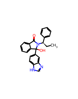 CC[C@H](c1ccccc1)N1C(=O)c2ccccc2C1(O)c1ccc2[nH][c]nc2c1